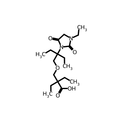 CCN1CC(=O)N(C(CC)(CC)COCC(CC)(CC)C(=O)O)C1=O